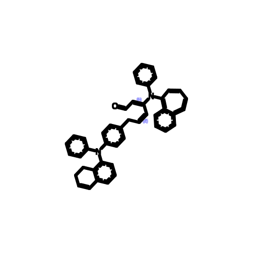 O=C/C=C(\C=C/Cc1ccc(N(c2ccccc2)c2cccc3c2CCC=C3)cc1)N(C1=c2ccccc2=C=CC=C1)c1ccccc1